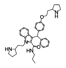 CCCNC(=O)c1c(C(c2ccccc2)c2ccc(OCCC3CCCN3)cc2)c2ccccc2n1CCC1CCCN1